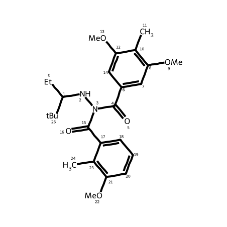 CCC(NN(C(=O)c1cc(OC)c(C)c(OC)c1)C(=O)c1cccc(OC)c1C)C(C)(C)C